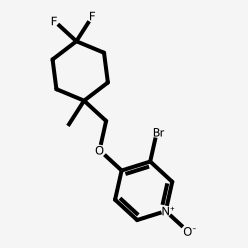 CC1(COc2cc[n+]([O-])cc2Br)CCC(F)(F)CC1